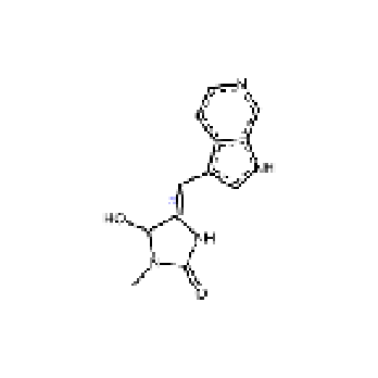 CN1C(=O)N/C(=C\c2c[nH]c3cnccc23)C1O